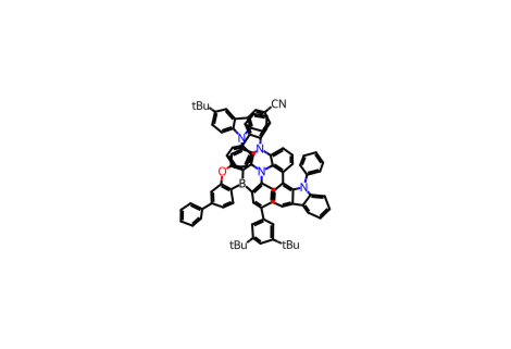 CC(C)(C)c1cc(-c2ccc3c(c2)B2c4ccc(-c5ccccc5)cc4Oc4cc(-n5c6ccc(C#N)cc6c6cc(C(C)(C)C)ccc65)cc(c42)N3c2c(-c3cccc4c5ccccc5n(-c5ccccc5)c34)cccc2-n2c3ccccc3c3ccccc32)cc(C(C)(C)C)c1